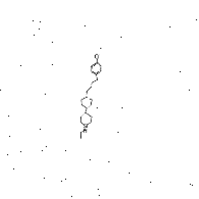 CCC[Si@H]1CC[C@H]([C@H]2CC[C@H](CCCCc3ccc(Cl)cc3)CC2)CC1